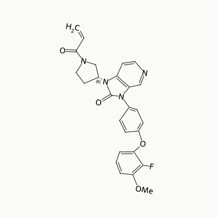 C=CC(=O)N1CC[C@@H](n2c(=O)n(-c3ccc(Oc4cccc(OC)c4F)cc3)c3cnccc32)C1